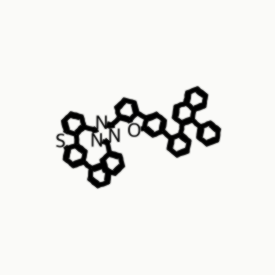 c1ccc(-c2ccc3sc4cccc(-c5nc(-c6ccccc6)nc(-c6cccc7c6oc6cc(-c8ccccc8-c8ccc9ccccc9c8-c8ccccc8)ccc67)n5)c4c3c2)cc1